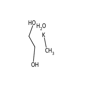 O.OCCO.[CH3][K]